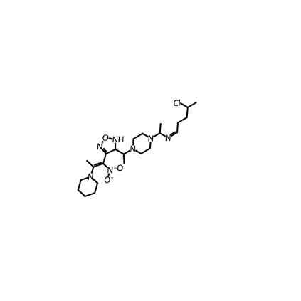 C/C(=C(\C1=NONC1C(C)N1CCN(C(C)/N=C\CCC(C)Cl)CC1)[N+](=O)[O-])N1CCCCC1